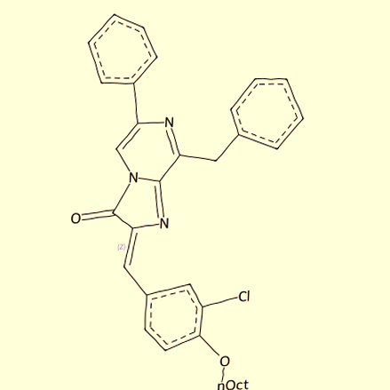 CCCCCCCCOc1ccc(/C=C2\N=C3C(Cc4ccccc4)=NC(c4ccccc4)=CN3C2=O)cc1Cl